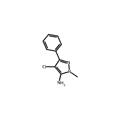 Cn1nc(-c2ccccc2)c(Cl)c1N